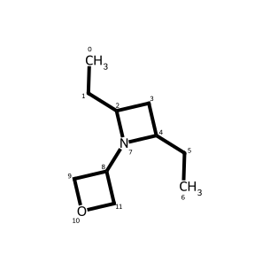 CCC1CC(CC)N1C1COC1